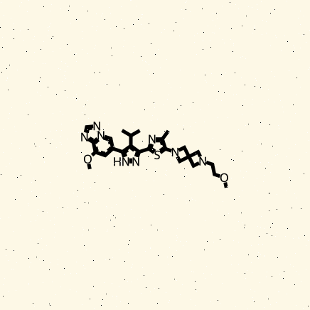 COCCN1CC2(C1)CN(c1sc(-c3n[nH]c(-c4cc(OC)c5ncnn5c4)c3C(C)C)nc1C)C2